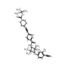 CC(C)(C)OC(=O)N1CCC(C#Cc2ccc(C(=O)NC3C(C)(C)C(Oc4ccc(C#N)c(Cl)c4)C3(C)C)cn2)CC1